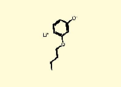 CCCCOc1cccc([O-])c1.[Li+]